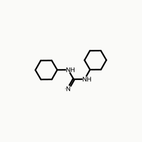 [N]=C(NC1CCCCC1)NC1CCCCC1